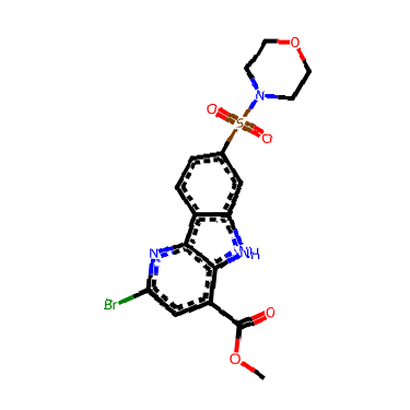 COC(=O)c1cc(Br)nc2c1[nH]c1cc(S(=O)(=O)N3CCOCC3)ccc12